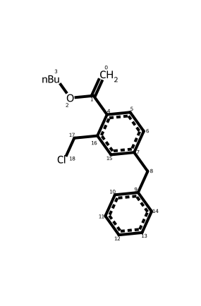 C=C(OCCCC)c1ccc(Cc2ccccc2)cc1CCl